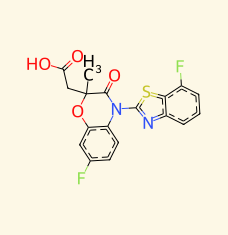 CC1(CC(=O)O)Oc2cc(F)ccc2N(c2nc3cccc(F)c3s2)C1=O